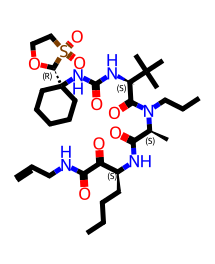 C=CCNC(=O)C(=O)[C@H](CCCC)NC(=O)[C@H](C)N(CCC)C(=O)[C@@H](NC(=O)NC1([C@@H]2OCCS2(=O)=O)CCCCC1)C(C)(C)C